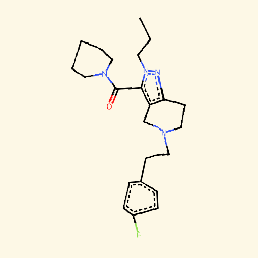 CCCn1nc2c(c1C(=O)N1CCCCC1)CN(CCc1ccc(F)cc1)CC2